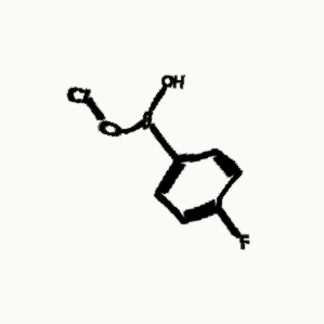 OB(OCl)c1ccc(F)cc1